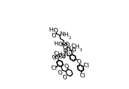 COC(=O)c1cc(Oc2ccc(Cl)cc2Cl)ccc1[N+](=O)[O-].CP(=O)(O)CCC(N)C(=O)O.CS(=O)(=O)c1ccc(C(=O)C2C(=O)CCCC2=O)c(Cl)c1